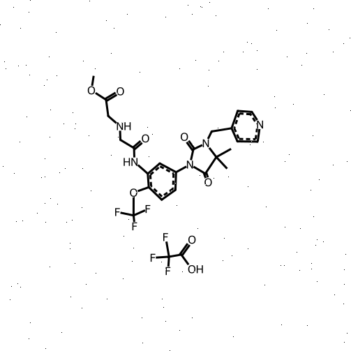 COC(=O)CNCC(=O)Nc1cc(N2C(=O)N(Cc3ccncc3)C(C)(C)C2=O)ccc1OC(F)(F)F.O=C(O)C(F)(F)F